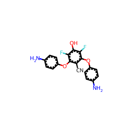 N#Cc1c(Oc2ccc(N)cc2)c(F)c(O)c(F)c1Oc1ccc(N)cc1